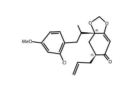 C=CC[C@H]1C[C@]2(C(C)Cc3ccc(OC)cc3Cl)OCOC2=CC1=O